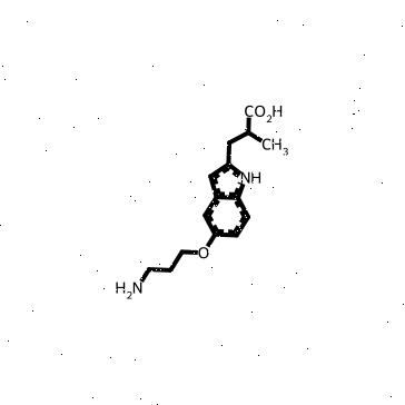 CC(Cc1cc2cc(OCCCN)ccc2[nH]1)C(=O)O